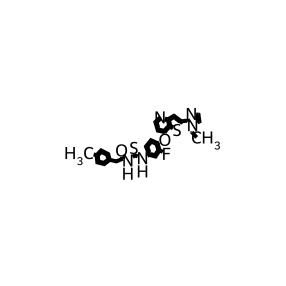 CCn1ccnc1-c1cc2nccc(Oc3ccc(NC(=S)NC(=O)Cc4ccc(C)cc4)cc3F)c2s1